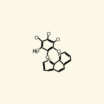 Oc1c(Cl)c(Cl)c(Cl)c(Cl)c1Cl.[Fe].c1cnc2c(c1)ccc1cccnc12